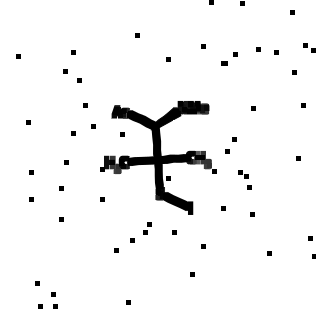 CN[C@H](C(C)=O)C(C)(C)SI